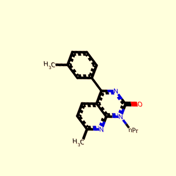 CCCn1c(=O)nc(-c2cccc(C)c2)c2ccc(C)nc21